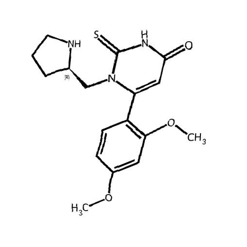 COc1ccc(-c2cc(=O)[nH]c(=S)n2C[C@H]2CCCN2)c(OC)c1